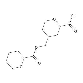 O=C(Cl)C1CC(COC(=O)C2CCCCO2)CCO1